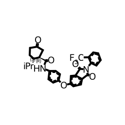 CC(C)[C@@H]1CCC(=O)C[C@H]1C(=O)Nc1ccc(Oc2ccc3c(c2)C(=O)N(c2ccccc2C(F)(F)F)C3=O)cc1